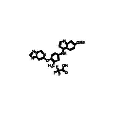 COc1ccc2c(Nc3ccc(Oc4cc5ncnn5cn4)c(C)c3)ncnc2c1.O=C(O)C(F)(F)F